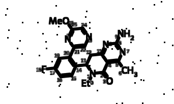 CCN1C(=O)c2c(C)nc(N)nc2CC1c1ccc(F)cc1-c1cncc(OC)n1